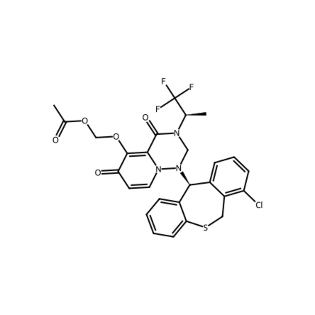 CC(=O)OCOc1c2n(ccc1=O)N([C@@H]1c3ccccc3SCc3c(Cl)cccc31)CN([C@H](C)C(F)(F)F)C2=O